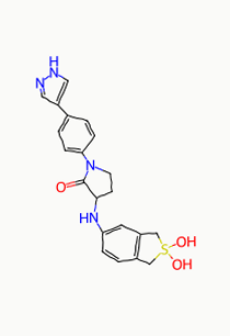 O=C1C(Nc2ccc3c(c2)CS(O)(O)C3)CCN1c1ccc(-c2cn[nH]c2)cc1